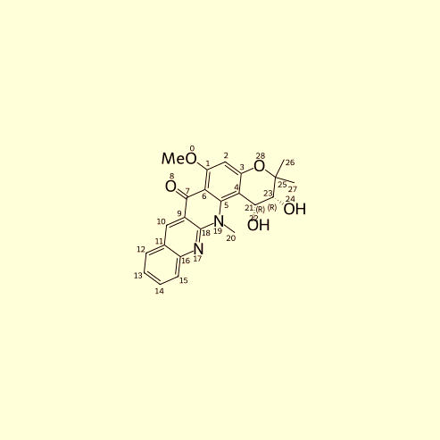 COc1cc2c(c3c1c(=O)c1cc4ccccc4nc1n3C)[C@@H](O)[C@@H](O)C(C)(C)O2